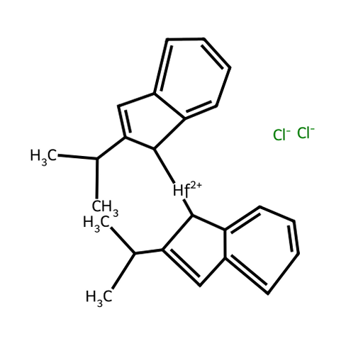 CC(C)C1=Cc2ccccc2[CH]1[Hf+2][CH]1C(C(C)C)=Cc2ccccc21.[Cl-].[Cl-]